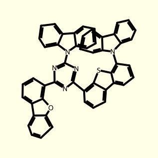 c1ccc2c(c1)oc1c(-c3nc(-c4cccc5c4sc4c(-n6c7ccccc7c7ccccc76)cccc45)nc(-n4c5ccccc5c5ccccc54)n3)cccc12